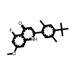 COc1cc(F)c2c(=O)cc(-c3cc(C)c(C(C)(C)C)cc3C)[nH]c2c1